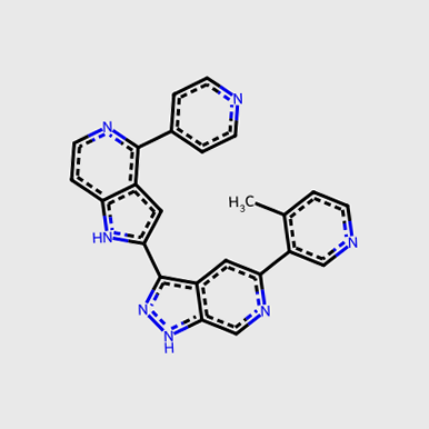 Cc1ccncc1-c1cc2c(-c3cc4c(-c5ccncc5)nccc4[nH]3)n[nH]c2cn1